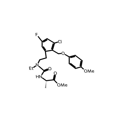 CCN(CCc1cc(F)cc(Cl)c1COc1ccc(OC)cc1)C(=O)N[C@@H](C)C(=O)OC